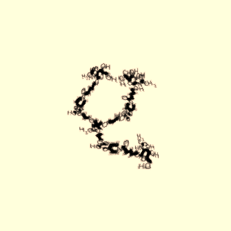 COCC(COCCCOP(=O)(O)OC1CCN(C(=O)CCCCO[C@H](OC(CO)[C@@H](C)O)[C@H](CO)NC(C)=O)CC1)(COCCCOP(=O)(O)OC1CCN(C(=O)CCCCO[C@@H]2OC(CO)[C@H](O)C(O)[C@@H]2NC(C)=O)CC1)COCCCOP(=O)(O)OC1CCN(C(=O)CCCCO[C@@H]2OC(CO)[C@H](O)C(O)[C@@H]2NC(C)=O)CC1